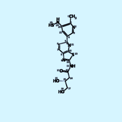 Cc1ncc(-c2ccc3nc(NC(=O)C[C@@H](O)CO)sc3n2)cc1NS